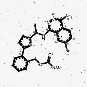 CNC(=O)OCc1ccccc1-c1ccc(C(C)Nc2nnc(C(F)(F)F)c3ccc(Br)cc23)s1